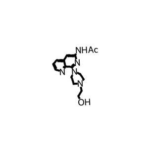 CC(=O)Nc1cc2cccnc2c(N2CCN(CCO)CC2)n1